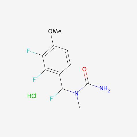 COc1ccc(C(F)N(C)C(N)=O)c(F)c1F.Cl